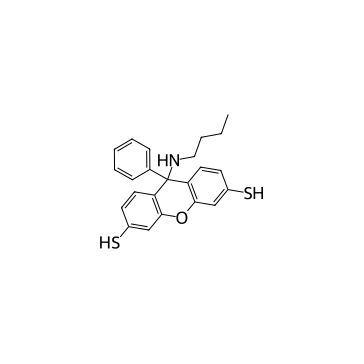 CCCCNC1(c2ccccc2)c2ccc(S)cc2Oc2cc(S)ccc21